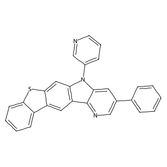 c1ccc(-c2cnc3c4cc5c(cc4n(-c4cccnc4)c3c2)sc2ccccc25)cc1